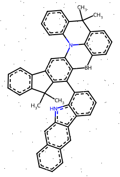 CC1(C)c2ccccc2N2c3cc4c(c(-c5cccc6c5[nH]c5cc7ccccc7cc56)c3Bc3cccc1c32)C(C)(C)c1ccccc1-4